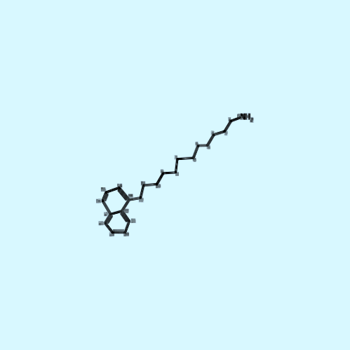 NCCCCCCCCCCCCc1cccc2ccccc12